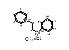 CCN(CC[n+]1ccccc1)c1ccccc1.[Cl-]